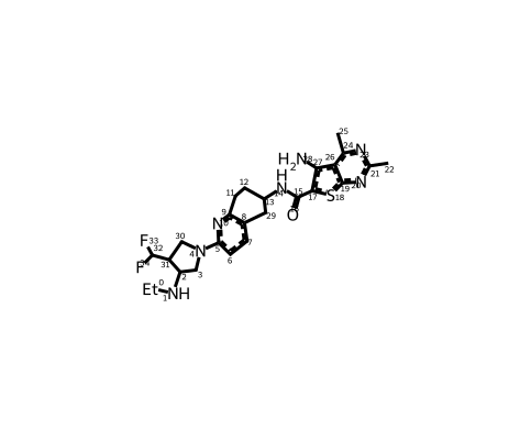 CCNC1CN(c2ccc3c(n2)CCC(NC(=O)c2sc4nc(C)nc(C)c4c2N)C3)CC1C(F)F